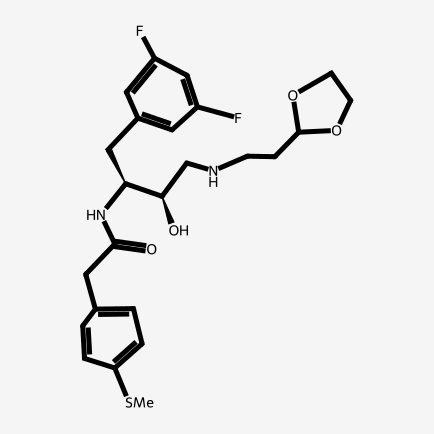 CSc1ccc(CC(=O)N[C@@H](Cc2cc(F)cc(F)c2)[C@H](O)CNCCC2OCCO2)cc1